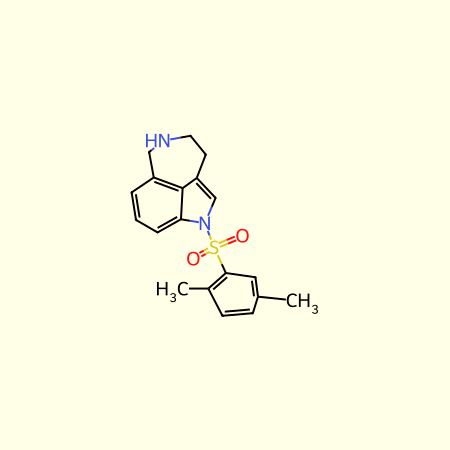 Cc1ccc(C)c(S(=O)(=O)n2cc3c4c(cccc42)CNCC3)c1